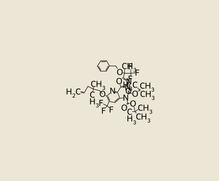 C=CCC(C)(C)COc1nc(-c2nnc(C(C)(OCc3ccccc3)C(F)(F)F)o2)c(N(C(=O)OC(C)(C)C)C(=O)OC(C)(C)C)cc1C(F)(F)F